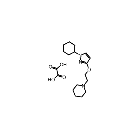 O=C(O)C(=O)O.c1cn(C2CCCCC2)nc1OCCN1CCCCC1